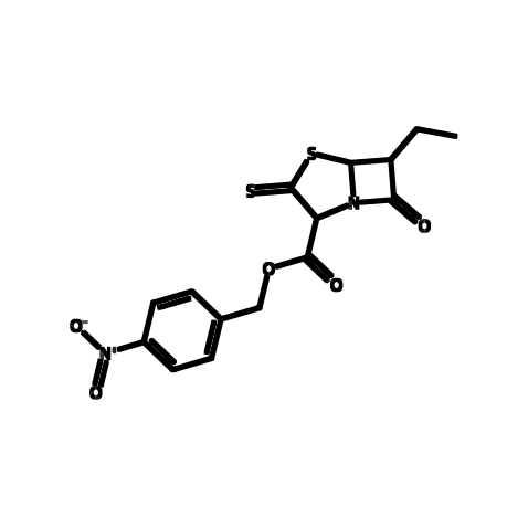 CCC1C(=O)N2C(C(=O)OCc3ccc([N+](=O)[O-])cc3)C(=S)SC12